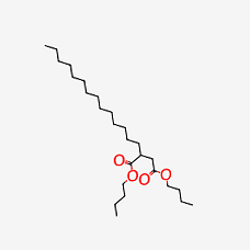 CCCCCCCCCCCCCCC(CC(=O)OCCCC)C(=O)OCCCC